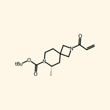 C=CC(=O)N1CC2(CCN(C(=O)OC(C)(C)C)[C@@H](C)C2)C1